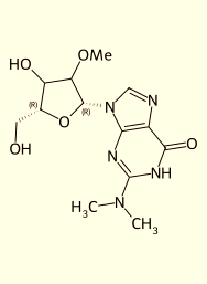 COC1C(O)[C@@H](CO)O[C@H]1n1cnc2c(=O)[nH]c(N(C)C)nc21